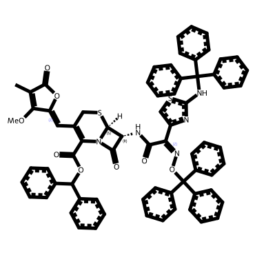 COC1=C(C)C(=O)O/C1=C\C1=C(C(=O)OC(c2ccccc2)c2ccccc2)N2C(=O)[C@@H](NC(=O)/C(=N\OC(c3ccccc3)(c3ccccc3)c3ccccc3)c3csc(NC(c4ccccc4)(c4ccccc4)c4ccccc4)n3)[C@@H]2SC1